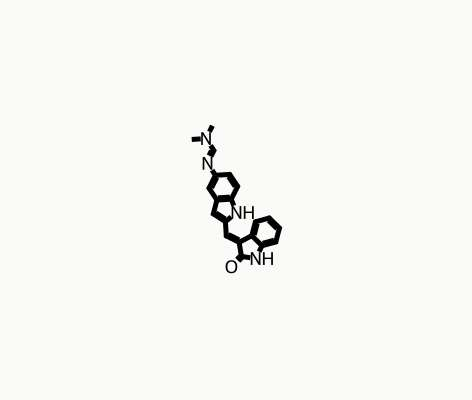 CN(C)/C=N/c1ccc2[nH]c(/C=C3/C(=O)Nc4ccccc43)cc2c1